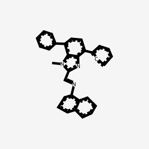 Cn1c(/C=N/c2cccc3ccccc23)nc2c(-c3ccccc3)ccc(-c3ccccc3)c21